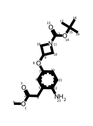 COC(=O)Cc1cc(OC2CN(C(=O)OC(C)(C)C)C2)ccc1N